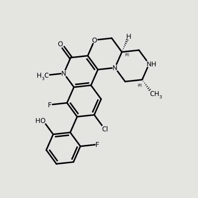 C[C@@H]1CN2c3c(c(=O)n(C)c4c(F)c(-c5c(O)cccc5F)c(Cl)cc34)OC[C@H]2CN1